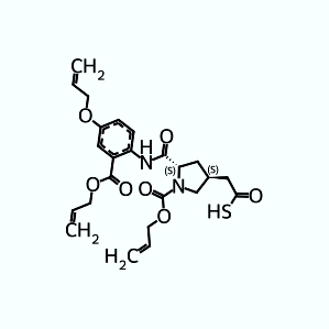 C=CCOC(=O)c1cc(OCC=C)ccc1NC(=O)[C@@H]1C[C@@H](CC(=O)S)CN1C(=O)OCC=C